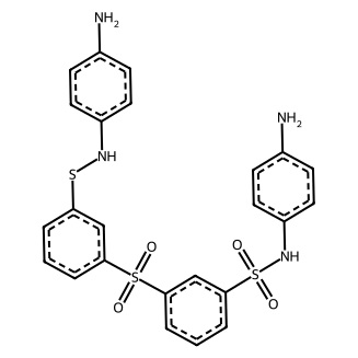 Nc1ccc(NSc2cccc(S(=O)(=O)c3cccc(S(=O)(=O)Nc4ccc(N)cc4)c3)c2)cc1